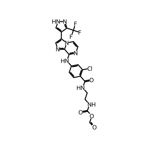 O=COC(=O)NCCNC(=O)c1ccc(Nc2nccn3c(-c4c[nH]nc4C(F)(F)F)cnc23)cc1Cl